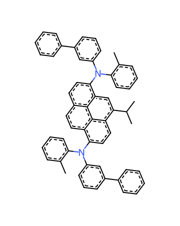 Cc1ccccc1N(c1cccc(-c2ccccc2)c1)c1ccc2ccc3c(N(c4cccc(-c5ccccc5)c4)c4ccccc4C)ccc4c(C(C)C)cc1c2c43